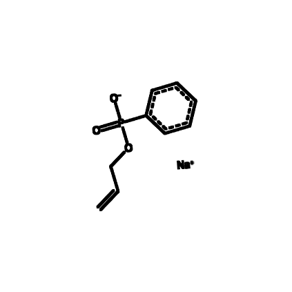 C=CCOP(=O)([O-])c1ccccc1.[Na+]